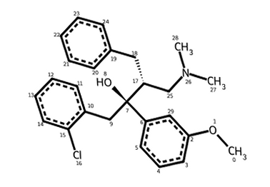 COc1cccc([C@](O)(Cc2ccccc2Cl)[C@H](Cc2ccccc2)CN(C)C)c1